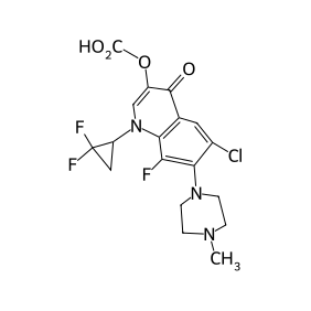 CN1CCN(c2c(Cl)cc3c(=O)c(OC(=O)O)cn(C4CC4(F)F)c3c2F)CC1